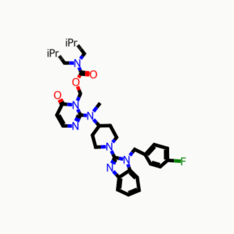 CC(C)CN(CC(C)C)C(=O)OCn1c(N(C)C2CCN(c3nc4ccccc4n3Cc3ccc(F)cc3)CC2)nccc1=O